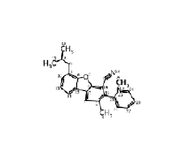 Cc1cc2c(oc3c(CC(C)C)cccc32)c(C#N)c1-c1cccc[n+]1C